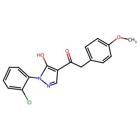 COc1ccc(CC(=O)c2[c]nn(-c3ccccc3Cl)c2O)cc1